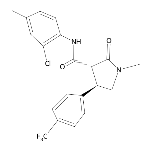 Cc1ccc(NC(=O)[C@@H]2C(=O)N(C)C[C@H]2c2ccc(C(F)(F)F)cc2)c(Cl)c1